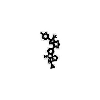 CCn1c(-c2cnc(C)nc2)nc2c(-c3ccc4c(c3)[C@@]3(CCCN3C(=O)C3CC3)C(=O)N4)ncnc21